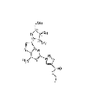 CCOC(=O)c1cnn(-c2nc(N)c3ncn([C@@H]4O[C@H](CO)[C@@H](O)[C@H]4O)c3n2)c1